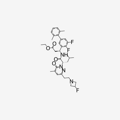 CCOC(=O)C[C@H](NC(=O)[C@H](CC(C)C)n1nc(CCN2CC(F)C2)cc(C)c1=O)c1cc(-c2c(C)cccc2C)cc(F)c1F